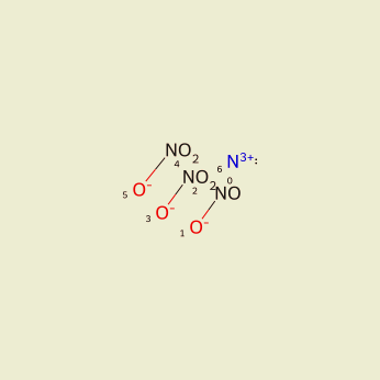 O=N[O-].O=[N+]([O-])[O-].O=[N+]([O-])[O-].[N+3]